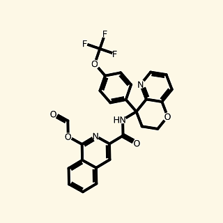 O=COc1nc(C(=O)NC2(c3ccc(OC(F)(F)F)cc3)CCOc3cccnc32)cc2ccccc12